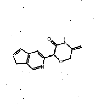 C=C1COC(c2cc3c(cn2)CC=C3)C(=O)N1